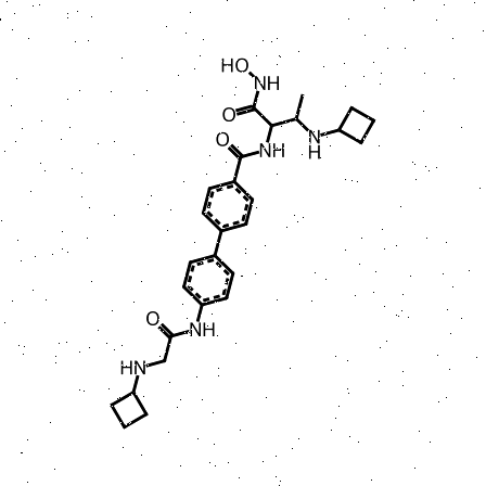 CC(NC1CCC1)C(NC(=O)c1ccc(-c2ccc(NC(=O)CNC3CCC3)cc2)cc1)C(=O)NO